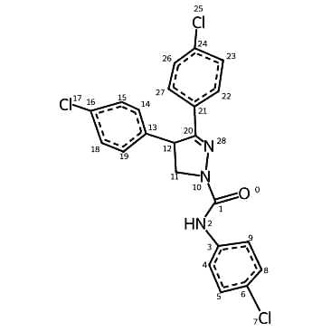 O=C(Nc1ccc(Cl)cc1)N1CC(c2ccc(Cl)cc2)C(c2ccc(Cl)cc2)=N1